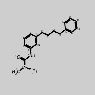 CN(C)C(=O)Nc1cccc(CCCCc2ccccc2)c1